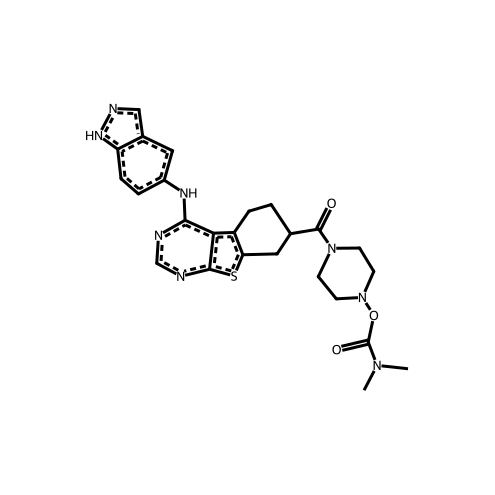 CN(C)C(=O)ON1CCN(C(=O)C2CCc3c(sc4ncnc(Nc5ccc6[nH]ncc6c5)c34)C2)CC1